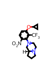 O=[N+]([O-])c1ccc(OC2CC2)c(C(F)(F)F)c1N1CCN2CCC[C@@H]2C1